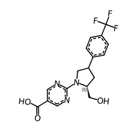 O=C(O)c1cnc(N2CC(c3ccc(C(F)(F)F)cc3)C[C@H]2CO)nc1